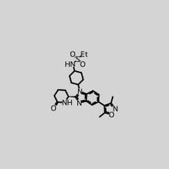 CCS(=O)(=O)NC1CCC(n2c([C@@H]3CCCC(=O)N3)nc3cc(-c4c(C)noc4C)ccc32)CC1